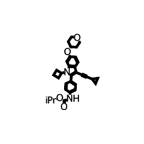 CC(C)OC(=O)Nc1ccc(-c2c(C#CC3CC3)c3ccc(OC4CCOCC4)cc3n2C2CCC2)cc1